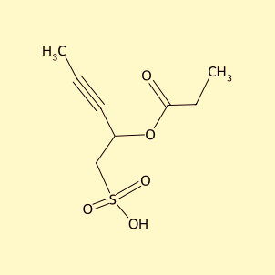 CC#CC(CS(=O)(=O)O)OC(=O)CC